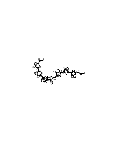 C=CCc1nc(-c2nc(-c3nc(CNC(=O)c4coc(-c5coc(-c6coc(C=C)n6)n5)n4)co3)co2)co1